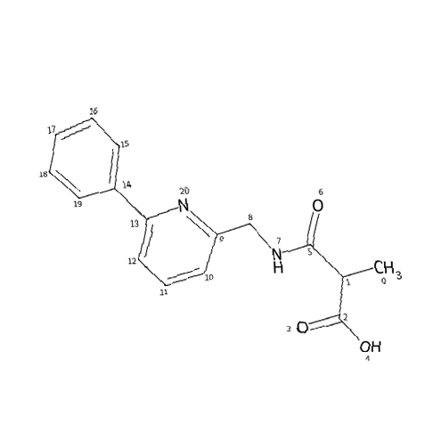 CC(C(=O)O)C(=O)NCc1cccc(-c2ccccc2)n1